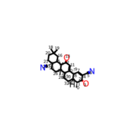 C[C@@H]1C(=O)C(C#N)=C[C@]2(C)C3=CC(=O)C4C5CC(C)(C)CC[C@]5(C#N)CC[C@@]4(C)[C@]3(C)CC[C@@H]12